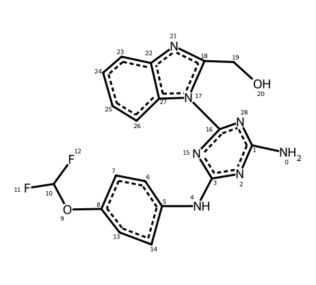 Nc1nc(Nc2ccc(OC(F)F)cc2)nc(-n2c(CO)nc3ccccc32)n1